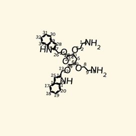 NCCO[C@H]1C[C@@H](OCCN)[C@H](OCc2cc3ccccc3[nH]2)O[C@@H]1OCc1cc2ccccc2[nH]1